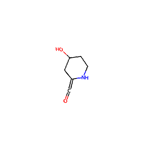 O=C=C1CC(O)CCN1